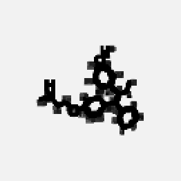 CC/C(=C(\c1ccccc1)c1ccc(OCCNC)cc1)c1ccccc1.[Cl-].[H+]